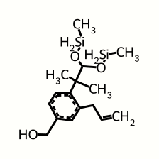 C=CCc1cc(CO)ccc1C(C)(C)C(O[SiH2]C)O[SiH2]C